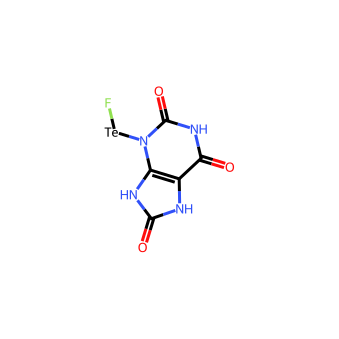 O=c1[nH]c2c(=O)[nH]c(=O)n([Te]F)c2[nH]1